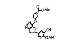 COC(=O)N1CCC(Oc2ncnc3c2CN(c2cnc(OC)c(C#N)c2)CC3)C1